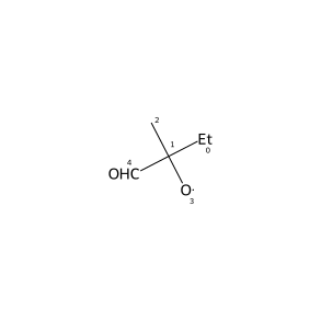 CCC(C)([O])C=O